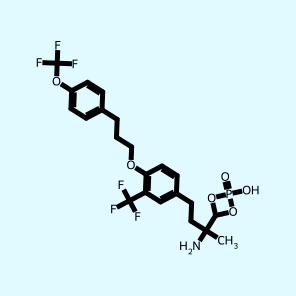 CC(N)(CCc1ccc(OCCCc2ccc(OC(F)(F)F)cc2)c(C(F)(F)F)c1)C1OP(=O)(O)O1